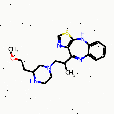 COCCC1CN(CC(C)C2=Nc3ccccc3Nc3scnc32)CCN1